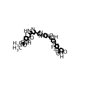 [2H][C@@]1(c2ccc(N3CCC(O)(CC(=O)N4CCN(c5ncc(-c6cnc7[nH]cc(C(=O)c8c(F)ccc(NS(=O)(=O)N(C)CC)c8F)c7c6)cn5)CC4)CC3)c(F)c2)CCC(=O)NC1=O